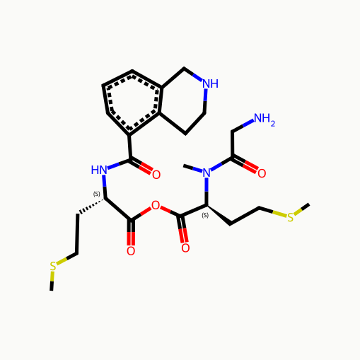 CSCC[C@H](NC(=O)c1cccc2c1CCNC2)C(=O)OC(=O)[C@H](CCSC)N(C)C(=O)CN